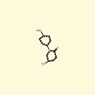 O=Cc1ccc(-n2cc(C(F)(F)F)ccc2=O)cc1